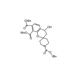 COC(=O)c1ccc2c(c1C(=O)OC)OC1(CCN(C(=O)OC(C)(C)C)CC1)CC2O